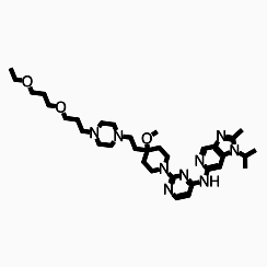 CCOCCCOCCCN1CCN(CCC2(OC)CCN(c3nccc(Nc4cc5c(cn4)nc(C)n5C(C)C)n3)CC2)CC1